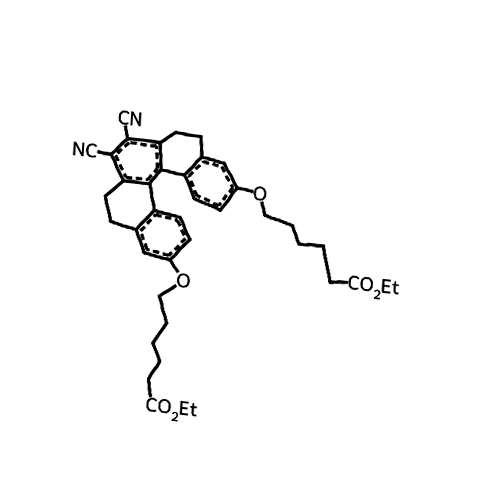 CCOC(=O)CCCCCOc1ccc2c(c1)CCc1c(C#N)c(C#N)c3c(c1-2)-c1ccc(OCCCCCC(=O)OCC)cc1CC3